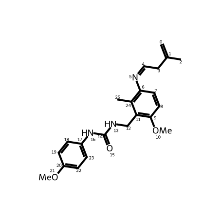 C=C(C)C/C=N\c1ccc(OC)c(CNC(=O)Nc2ccc(OC)cc2)c1C